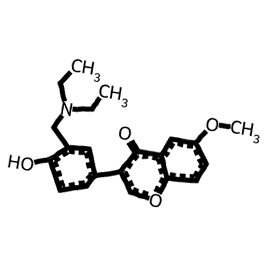 CCN(CC)Cc1cc(-c2coc3ccc(OC)cc3c2=O)ccc1O